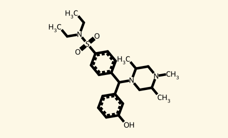 CCN(CC)S(=O)(=O)c1ccc(C(c2cccc(O)c2)N2CC(C)N(C)CC2C)cc1